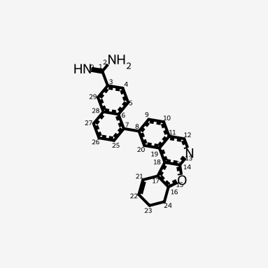 N=C(N)c1ccc2c(-c3ccc4cnc5oc6c(c5c4c3)C=CCC6)cccc2c1